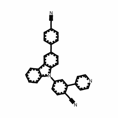 N#Cc1ccc(-c2ccc3c(c2)c2ccccc2n3-c2ccc(C#N)c(-c3ccncc3)c2)cc1